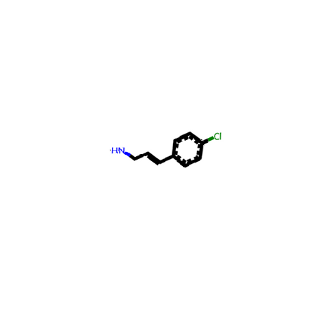 [NH]CC=Cc1ccc(Cl)cc1